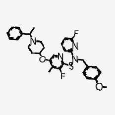 COc1ccc(CN(Sc2ncc(OC3CCN(C(C)c4ccccc4)CC3)c(C)c2F)c2cccc(F)n2)cc1